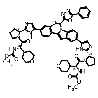 COC(=O)N[C@H](C(=O)N1CCC[C@H]1c1ncc(-c2ccc3c(c2)OC(c2nnc(-c4ccccc4)o2)n2c-3cc3cc(-c4cnc([C@@H]5CCCN5C(=O)[C@@H](NC(=O)OC)C5CCOCC5)[nH]4)ccc32)[nH]1)C1CCOCC1